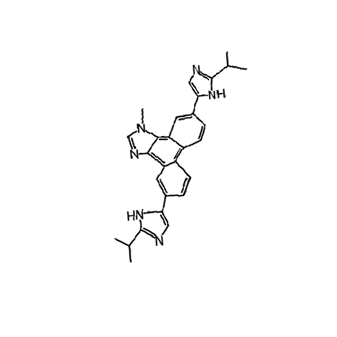 CC(C)c1ncc(-c2ccc3c4ccc(-c5cnc(C(C)C)[nH]5)cc4c4c(ncn4C)c3c2)[nH]1